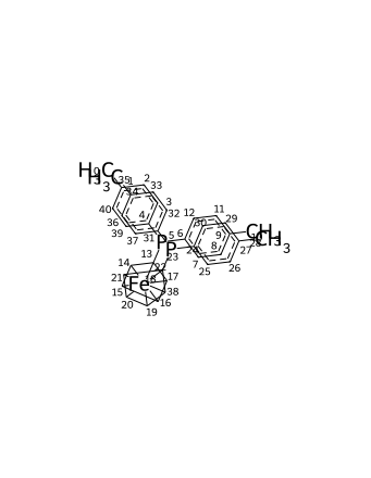 Cc1ccc(P(c2ccc(C)cc2)[C]23[CH]4[CH]5[CH]6[CH]2[Fe]56432789[CH]3[CH]2[CH]7[C]8(P(c2ccc(C)cc2)c2ccc(C)cc2)[CH]39)cc1